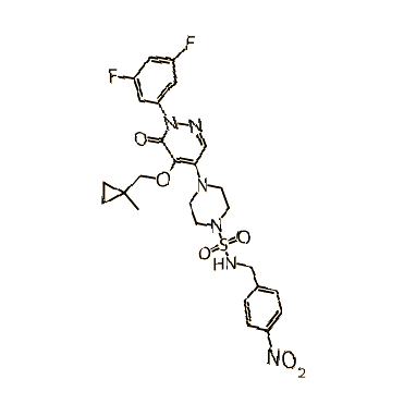 CC1(COc2c(N3CCN(S(=O)(=O)NCc4ccc([N+](=O)[O-])cc4)CC3)cnn(-c3cc(F)cc(F)c3)c2=O)CC1